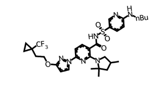 CCCCNc1ccc(S(=O)(=O)NC(=O)c2ccc(-n3ccc(OCCC4(C(F)(F)F)CC4)n3)nc2N2CC(C)CC2(C)C)cn1